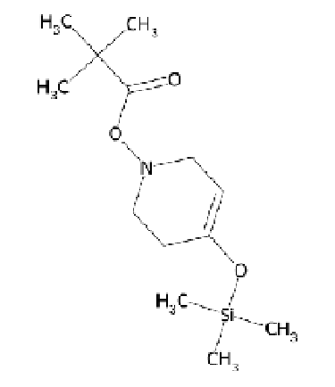 CC(C)(C)C(=O)ON1CC=C(O[Si](C)(C)C)CC1